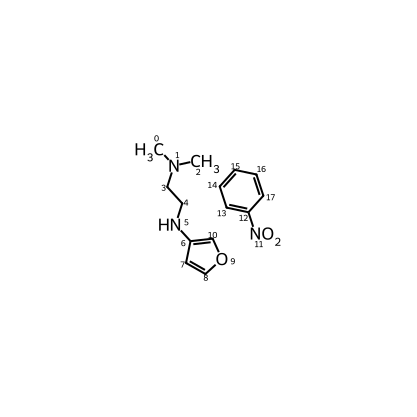 CN(C)CCNc1ccoc1.O=[N+]([O-])c1ccccc1